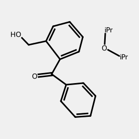 CC(C)OC(C)C.O=C(c1ccccc1)c1ccccc1CO